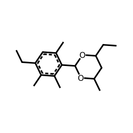 CCc1cc(C)c(C2OC(C)CC(CC)O2)c(C)c1C